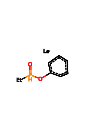 CC[PH](=O)Oc1ccccc1.[La]